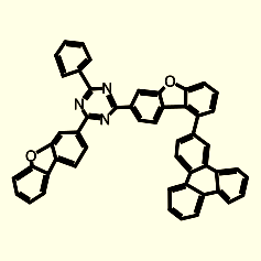 c1ccc(-c2nc(-c3ccc4c(c3)oc3ccccc34)nc(-c3ccc4c(c3)oc3cccc(-c5ccc6c7ccccc7c7ccccc7c6c5)c34)n2)cc1